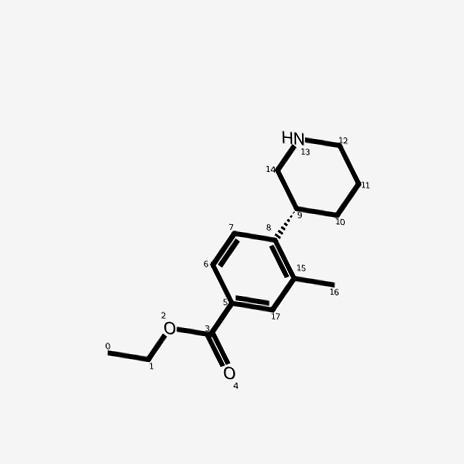 CCOC(=O)c1ccc([C@H]2CCCNC2)c(C)c1